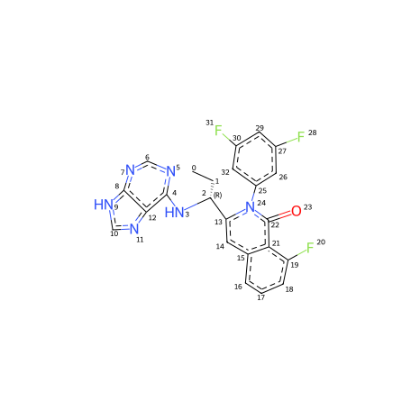 CC[C@@H](Nc1ncnc2[nH]cnc12)c1cc2cccc(F)c2c(=O)n1-c1cc(F)cc(F)c1